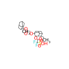 CCC1(OC(=O)C(F)(F)S(=O)(=O)O)C2CC3CC1CC(OCC(=O)OC1(C)C4CC5CC(C4)CC1C5)(C3)C2